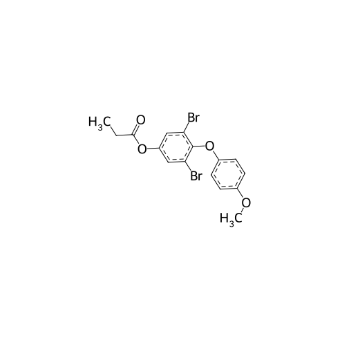 CCC(=O)Oc1cc(Br)c(Oc2ccc(OC)cc2)c(Br)c1